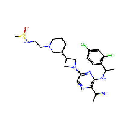 CC(=N)c1ncc(N2CC(C3CCCN(CCN[S+](C)[O-])C3)C2)nc1NC(C)c1ccc(Cl)cc1Cl